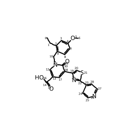 CCc1cc(OC)ccc1Cn1cc(C(=O)O)cc(-c2csc(-c3ccncc3)n2)c1=O